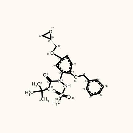 CC(C)(C)OC(=O)N(NS(C)(=O)=O)c1cc(OC[C@@H]2CO2)ccc1OCc1ccccc1